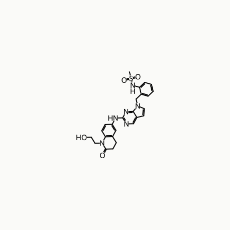 CS(=O)(=O)Nc1ccccc1Cn1ccc2cnc(Nc3ccc4c(c3)CCC(=O)N4CCO)nc21